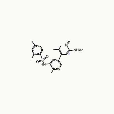 C=N/C(=C\C(=C(C)C)c1cnc(C)c(NS(=O)(=O)c2ccc(C)cc2F)c1)NC(C)=O